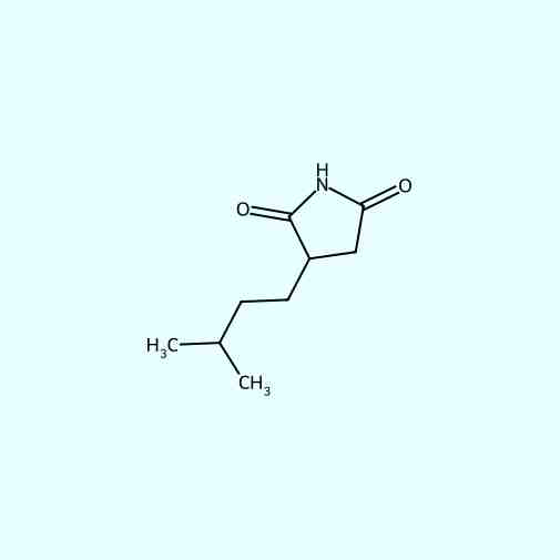 CC(C)CCC1CC(=O)NC1=O